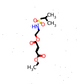 CCOC(=O)/C=C/C(=O)OCCNS(=O)(=O)CC(C)C